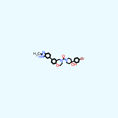 Cc1nc2ccc(-c3ccc4c(c3)CN(C(=O)N3CCC(O)(c5ccc(Br)cc5)CC3)CCO4)cc2[nH]1